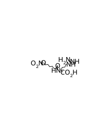 N=C(N)NCCCC(NC(=O)CCCCCO[N+](=O)[O-])C(=O)O